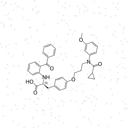 COc1cccc(N(CCCOc2ccc(C[C@H](Nc3ccccc3C(=O)c3ccccc3)C(=O)O)cc2)C(=O)C2CC2)c1